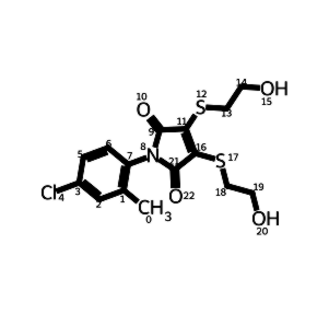 Cc1cc(Cl)ccc1N1C(=O)C(SCCO)=C(SCCO)C1=O